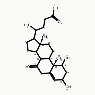 CC(CCC(=O)O)C1CCC2C3C(=O)CC4=CC(O)CC(O)[C@@]4(C)C3CC[C@@]12C